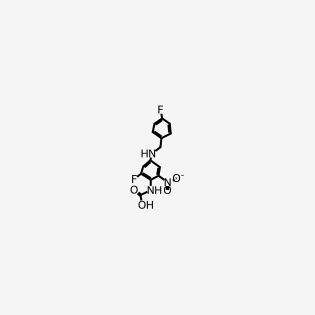 O=C(O)Nc1c(F)cc(NCc2ccc(F)cc2)cc1[N+](=O)[O-]